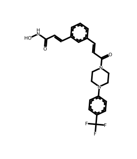 O=C(C=Cc1cccc(C=CC(=O)N2CCN(c3ccc(C(F)(F)F)cc3)CC2)c1)NO